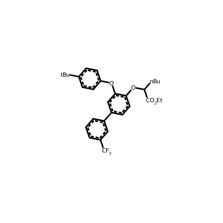 CCCCC(Oc1ccc(-c2cccc(C(F)(F)F)c2)cc1Oc1ccc(C(C)(C)C)cc1)C(=O)OCC